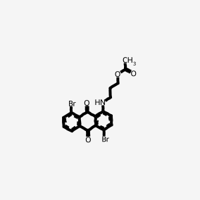 CC(=O)OCCCNc1ccc(Br)c2c1C(=O)c1c(Br)cccc1C2=O